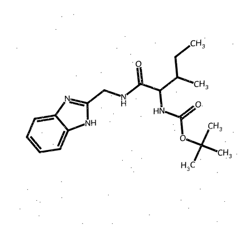 CCC(C)C(NC(=O)OC(C)(C)C)C(=O)NCc1nc2ccccc2[nH]1